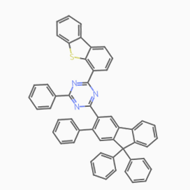 c1ccc(-c2nc(-c3cc4c(cc3-c3ccccc3)C(c3ccccc3)(c3ccccc3)c3ccccc3-4)nc(-c3cccc4c3sc3ccccc34)n2)cc1